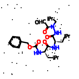 CC(C)C[C@H](NC(=O)OCc1ccccc1)C(=O)N[C@@H](CC(C)C)C(=O)NN(CC(C)C)C(=O)C=O